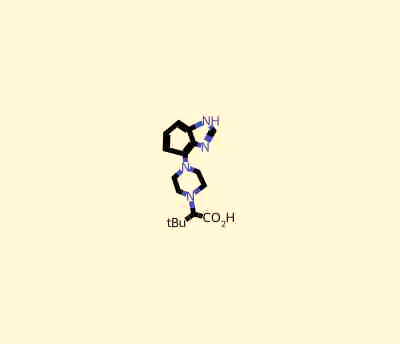 CC(C)(C)C(C(=O)O)N1CCN(c2cccc3[nH]cnc23)CC1